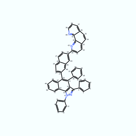 c1ccc(-c2nn(-c3ccccc3)c3c2c(-c2ccccc2)c(-c2ccc4ccc(-c5ccc6ccc7cccnc7c6n5)cc4c2)c2ccccc23)cc1